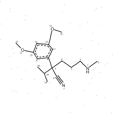 CNCCCC(C#N)(c1cc(OC)cc(OC)c1)C(C)C